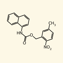 Cc1ccc([N+](=O)[O-])c(COC(=O)Nc2cccc3ccccc23)c1